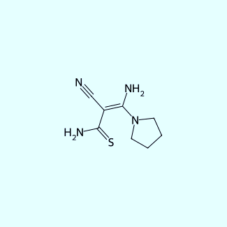 N#C/C(C(N)=S)=C(\N)N1CCCC1